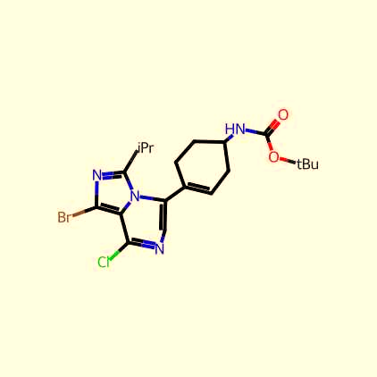 CC(C)c1nc(Br)c2c(Cl)ncc(C3=CCC(NC(=O)OC(C)(C)C)CC3)n12